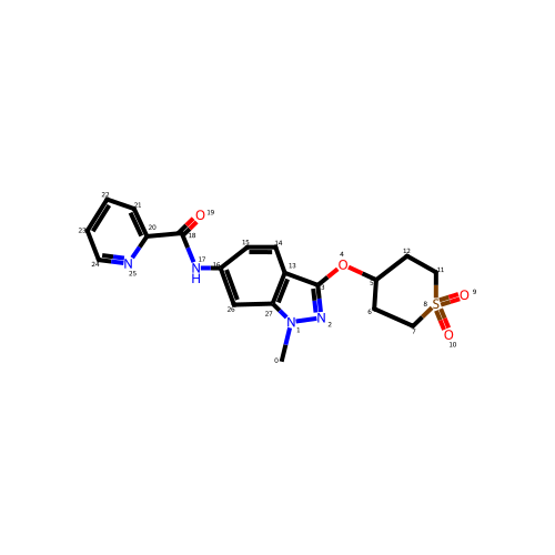 Cn1nc(OC2CCS(=O)(=O)CC2)c2ccc(NC(=O)c3ccccn3)cc21